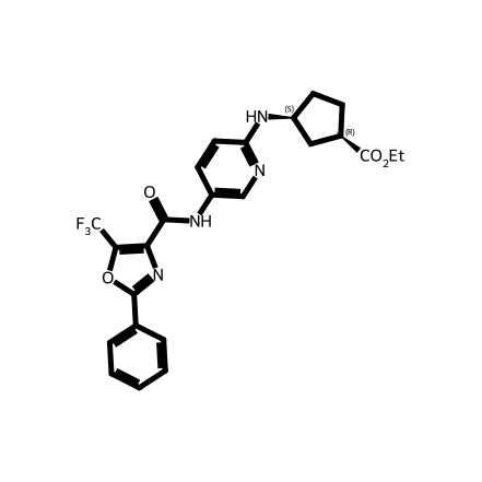 CCOC(=O)[C@@H]1CC[C@H](Nc2ccc(NC(=O)c3nc(-c4ccccc4)oc3C(F)(F)F)cn2)C1